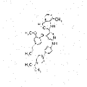 CCCc1ccc(Oc2nc(Nc3ccc(N4CCN(C(C)C)CC4)cc3)ncc2C(=O)Nc2c(C)cccc2C)c(OC)c1